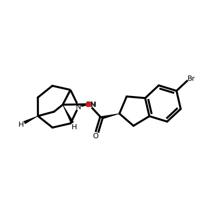 N#CN1CC[C@@H]2CCC1[C@H](NC(=O)[C@@H]1Cc3ccc(Br)cc3C1)C2